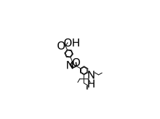 C=CCC(CC)(CC)c1cc(-c2cnc(-c3ccc(C(=O)O)cc3)o2)ccc1NCCC